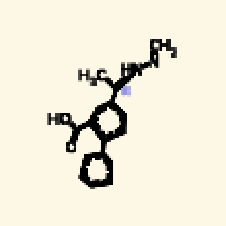 C=NN/C=C(\C)c1ccc(-c2ccccc2)c(C(=O)O)c1